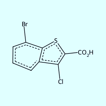 O=C(O)c1sc2c(Br)cccc2c1Cl